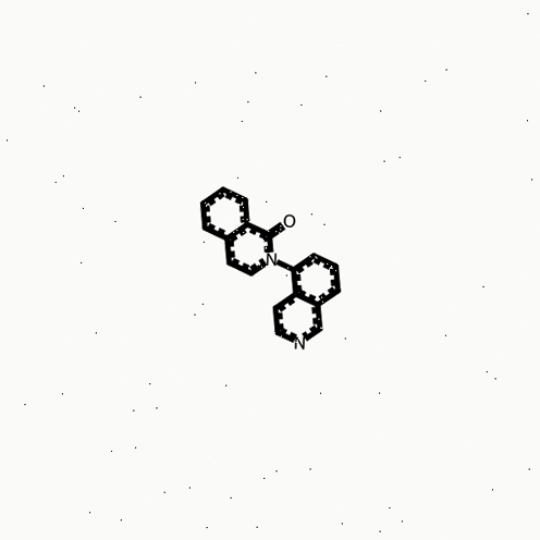 O=c1c2ccccc2ccn1-c1cccc2cnccc12